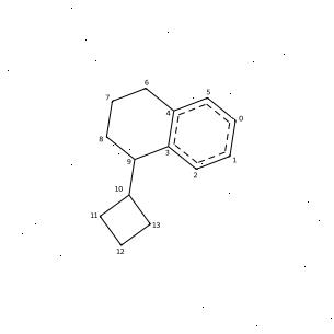 c1ccc2c(c1)CCCC2C1CCC1